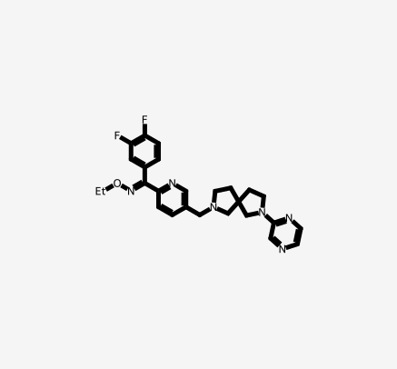 CCON=C(c1ccc(F)c(F)c1)c1ccc(CN2CCC3(CCN(c4cnccn4)C3)C2)cn1